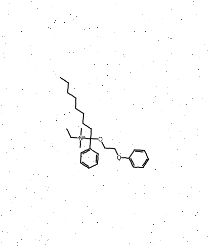 CCCCCCCCC(OCCOc1ccccc1)(c1ccccc1)[N+](C)(C)CC